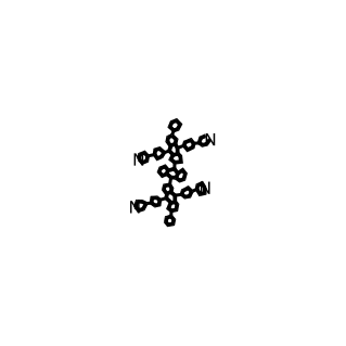 c1ccc(-c2ccc3c(-c4ccc(-c5ccncc5)cc4)c4cc(-c5c6ccccc6c(-c6ccc7c(-c8ccc(-c9ccncc9)cc8)c8cc(-c9ccccc9)ccc8c(-c8ccc(-c9ccncc9)cc8)c7c6)c6ccccc56)ccc4c(-c4ccc(-c5ccncc5)cc4)c3c2)cc1